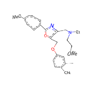 CCN(CCOC)Cc1nc(-c2ccc(OC)cc2)oc1COc1ccc(C#N)c(C)c1